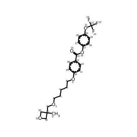 CC1(COCCCCCOc2ccc(C(=O)Oc3ccc(OC(F)(F)F)cc3)cc2)COC1